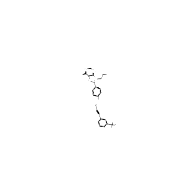 CCCN1c2nc[nH]c(=O)c2[N]C1c1ccc(OCC#Cc2cccc(C(F)(F)F)c2)cc1